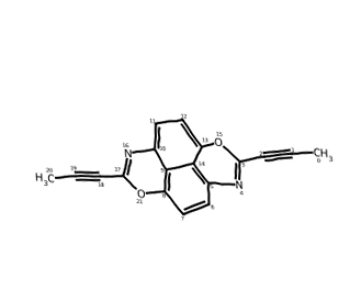 CC#CC1=Nc2ccc3c4c(ccc(c24)O1)N=C(C#CC)O3